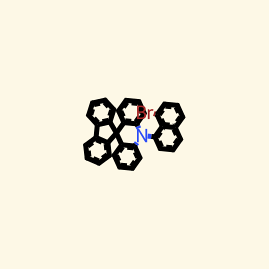 Brc1cccc2cccc(N3c4ccccc4C4(c5ccccc5-c5ccccc54)c4ccccc43)c12